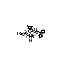 Cc1ccc(C[C@@H](NC(=O)OCC2c3ccccc3-c3ccccc32)C(=O)N2C[C@@H](C)NC(=O)[C@@H]2CCC(=O)OC(C)(C)C)c(C)c1